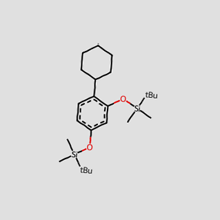 CC(C)(C)[Si](C)(C)Oc1ccc(C2CC[CH]CC2)c(O[Si](C)(C)C(C)(C)C)c1